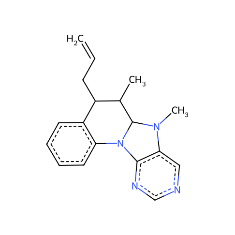 C=CCC1c2ccccc2N2c3ncncc3N(C)C2C1C